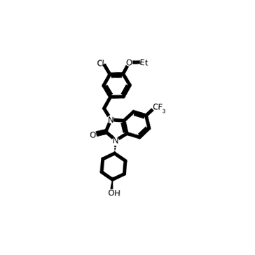 CCOc1ccc(Cn2c(=O)n([C@H]3CC[C@H](O)CC3)c3ccc(C(F)(F)F)cc32)cc1Cl